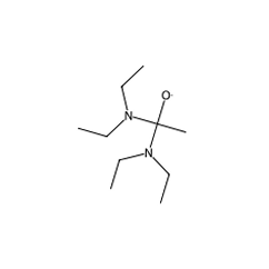 CCN(CC)C(C)([O])N(CC)CC